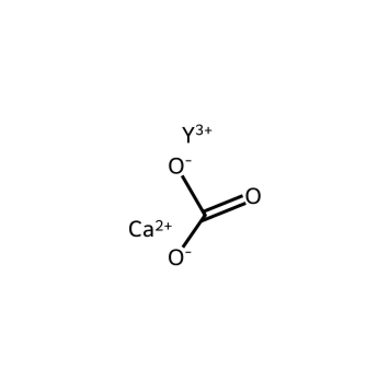 O=C([O-])[O-].[Ca+2].[Y+3]